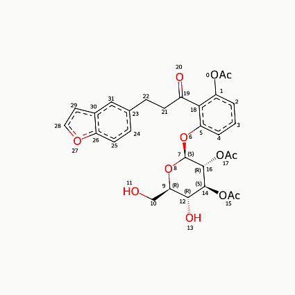 CC(=O)Oc1cccc(O[C@@H]2O[C@H](CO)[C@@H](O)[C@H](OC(C)=O)[C@H]2OC(C)=O)c1C(=O)CCc1ccc2occc2c1